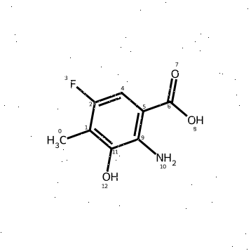 Cc1c(F)cc(C(=O)O)c(N)c1O